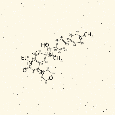 CCn1c(=O)cc(N2CCOCC2)c2cc(N(C)C(O)c3ccc(C4=CCN(C)CC4)cc3)ccc21